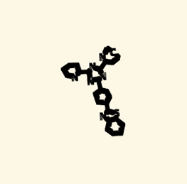 c1ccc(-c2nc(-c3ccc(-c4nc5ccccc5s4)cc3)nc(-c3ccccn3)n2)nc1